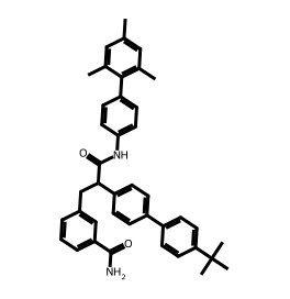 Cc1cc(C)c(-c2ccc(NC(=O)C(Cc3cccc(C(N)=O)c3)c3ccc(-c4ccc(C(C)(C)C)cc4)cc3)cc2)c(C)c1